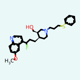 COc1ccc2nccc(C(F)CC[C@@H]3CCN(CCCSc4ccccc4)C[C@@H]3CO)c2c1